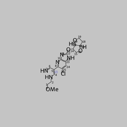 COCCN/C=C(\C=N)c1nc2nc(OC3CO[C@@H]4CCO[C@H]34)[nH]c2cc1Cl